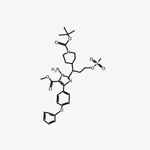 COC(=O)c1c(-c2ccc(Oc3ccccc3)cc2)nc(C(CCOS(C)(=O)=O)C2CCN(C(=O)OC(C)(C)C)CC2)n1N